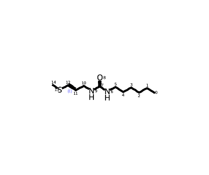 CCCCCCNC(=O)NC/C=C/SC